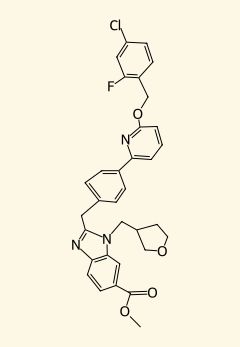 COC(=O)c1ccc2nc(Cc3ccc(-c4cccc(OCc5ccc(Cl)cc5F)n4)cc3)n(CC3CCOC3)c2c1